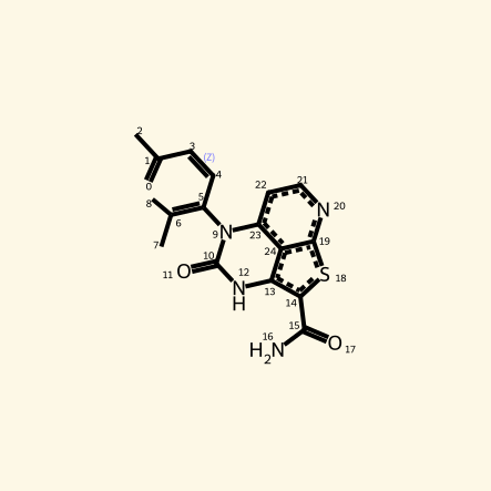 C=C(C)/C=C\C(=C(C)C)N1C(=O)Nc2c(C(N)=O)sc3nccc1c23